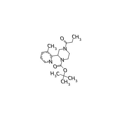 CCC(=O)N1CCN(C(=O)OC(C)(C)C)C(c2ncccc2C)C1